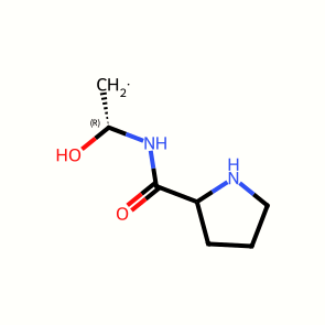 [CH2][C@@H](O)NC(=O)C1CCCN1